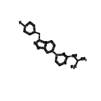 CC(C)Nc1nccc(-c2ccn3c(Cc4ccc(F)cc4)nnc3c2)n1